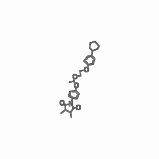 CC(OCCOc1ccc(C2CCCCC2)cc1)Oc1ccc(N2C(=O)C(C)C(C)C2=O)cc1